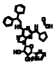 O=CO.O[C@@H]1[C@H](O)[C@@H](c2nnc[nH]2)O[C@H]1n1cnc2c(NCC(c3ccccc3)c3ccccc3)nc(NC3CCCC3)nc21